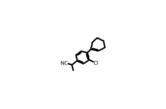 CC(C#N)c1ccc(C2=CCCCC2)c(Cl)c1